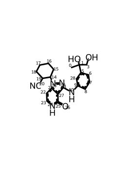 CC(O)(CO)c1cccc(Nc2nn(C3CCCCC3C#N)c3cc[nH]c(=O)c23)c1